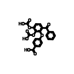 O=C(O)Oc1ccc(C(=O)c2ccccc2)c(Oc2ccc(C(=O)O)cc2)c1OC(=O)O